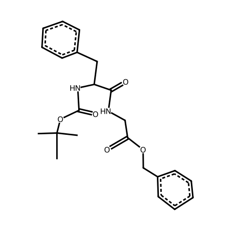 CC(C)(C)OC(=O)NC(Cc1ccccc1)C(=O)NCC(=O)OCc1ccccc1